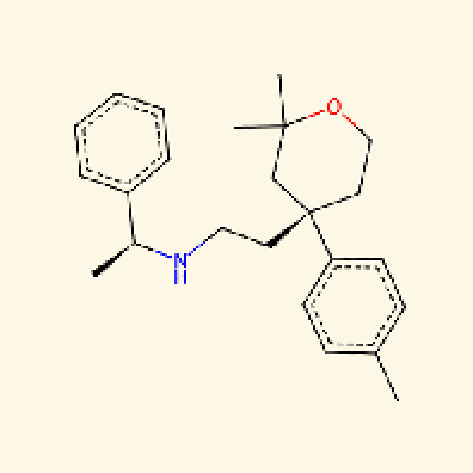 Cc1ccc([C@@]2(CCN[C@@H](C)c3ccccc3)CCOC(C)(C)C2)cc1